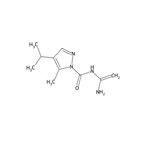 C=C(N)NC(=O)n1ncc(C(C)C)c1C